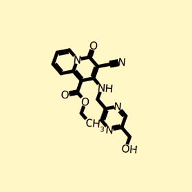 CCOC(=O)c1c(NCc2cnc(CO)cn2)c(C#N)c(=O)n2ccccc12